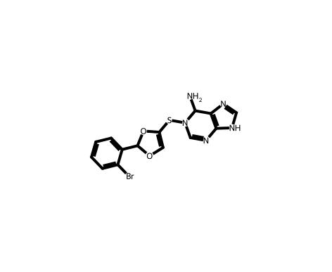 NC1c2nc[nH]c2N=CN1SC1=COC(c2ccccc2Br)O1